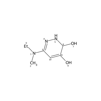 CCN(C)C1=NNC(O)C(O)=C1